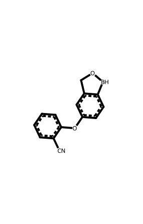 N#Cc1ccccc1Oc1ccc2c(c1)COB2